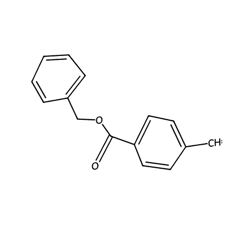 [CH]c1ccc(C(=O)OCc2ccccc2)cc1